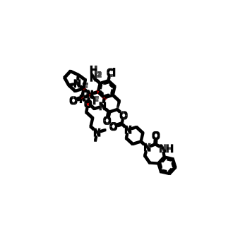 CN(C)CCCOC(=O)CN1C2CCC1CC(N1CCN(C(=O)[C@@H](Cc3cc(Cl)c(N)c(C(F)(F)F)c3)OC(=O)N3CCC(N4CCc5ccccc5NC4=O)CC3)CC1)C2